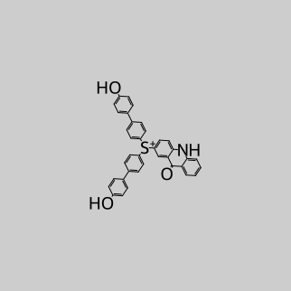 O=c1c2ccccc2[nH]c2ccc([S+](c3ccc(-c4ccc(O)cc4)cc3)c3ccc(-c4ccc(O)cc4)cc3)cc12